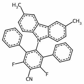 Cc1ccc2c(c1)c1cc(C)ccc1n2-c1c(-c2ccccc2)c(F)c(C#N)c(F)c1-c1ccccc1